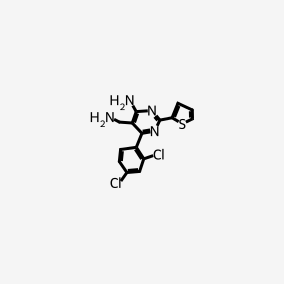 NCc1c(N)nc(-c2cccs2)nc1-c1ccc(Cl)cc1Cl